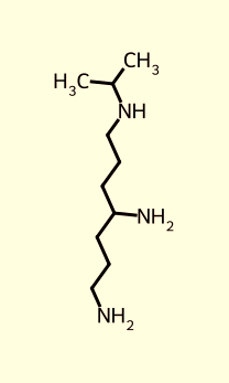 CC(C)NCCCC(N)CCCN